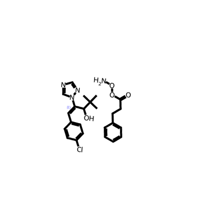 CC(C)(C)C(O)/C(=C\c1ccc(Cl)cc1)n1cncn1.NOOC(=O)CCc1ccccc1